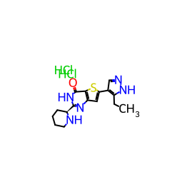 CCc1[nH]ncc1-c1cc2nc([C@@H]3CCCCN3)[nH]c(=O)c2s1.Cl.Cl